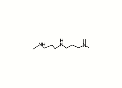 CNCCCNCCCNC